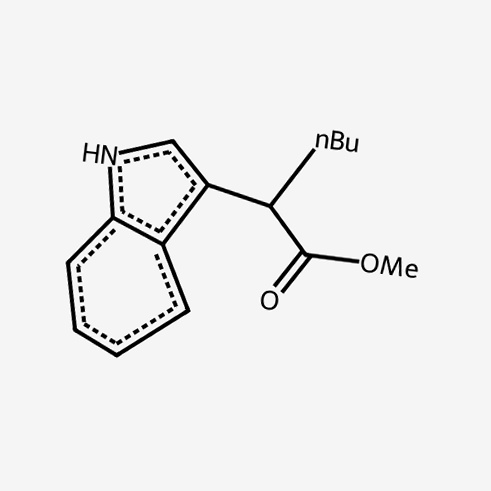 CCCCC(C(=O)OC)c1c[nH]c2ccccc12